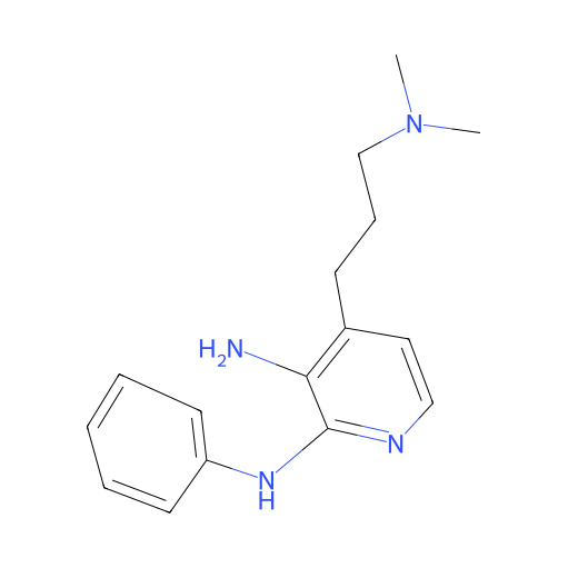 CN(C)CCCc1ccnc(Nc2ccccc2)c1N